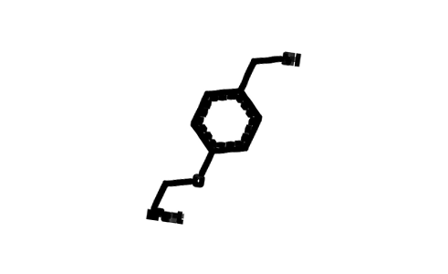 CCCCCCOc1ccc(CS)cc1